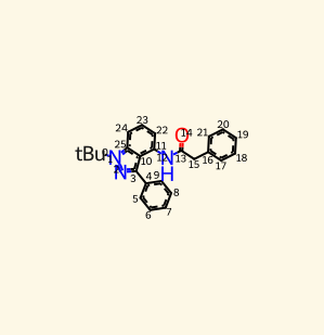 CC(C)(C)n1nc(-c2ccccc2)c2c(NC(=O)Cc3ccccc3)cccc21